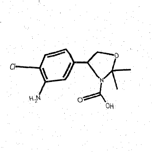 CC1(C)OCC(c2ccc(Cl)c(N)c2)N1C(=O)O